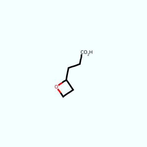 O=C(O)CCC1CCO1